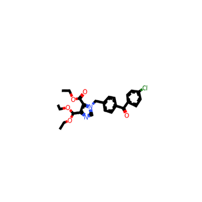 CCOC(=O)c1c(C(OCC)OCC)ncn1Cc1ccc(C(=O)c2ccc(Cl)cc2)cc1